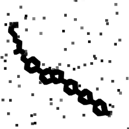 C/C(=C\CCC=N)SCc1ccc(-c2ccc3cc(-c4ccc(-c5ccc(-c6ccc(F)cc6)cc5)cc4)ccc3c2)cc1